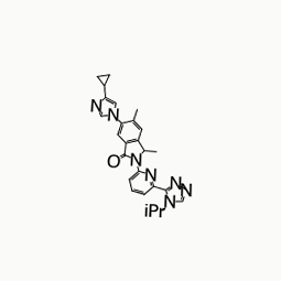 Cc1cc2c(cc1-n1cnc(C3CC3)c1)C(=O)N(c1cccc(-c3nncn3C(C)C)n1)C2C